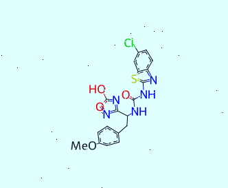 COc1ccc(CC(NC(=O)Nc2nc3ccc(Cl)cc3s2)c2noc(O)n2)cc1